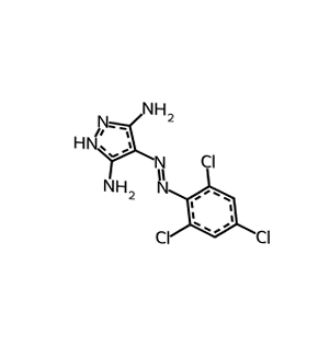 Nc1n[nH]c(N)c1N=Nc1c(Cl)cc(Cl)cc1Cl